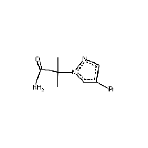 CC(C)c1cnn(C(C)(C)C(N)=O)c1